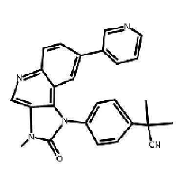 Cn1c(=O)n(-c2ccc(C(C)(C)C#N)cc2)c2c3cc(-c4cccnc4)ccc3ncc21